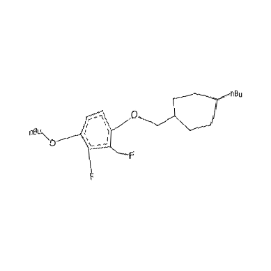 CCCCOc1ccc(OCC2CCC(CCCC)CC2)c(F)c1F